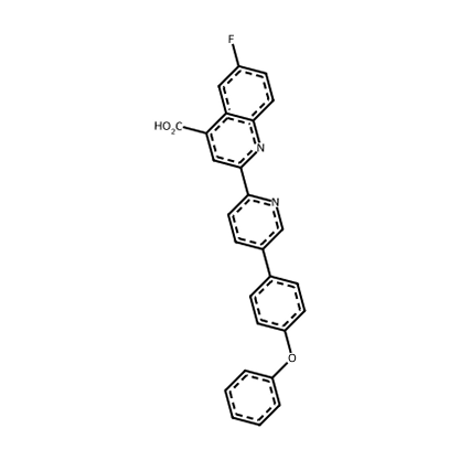 O=C(O)c1cc(-c2ccc(-c3ccc(Oc4ccccc4)cc3)cn2)nc2ccc(F)cc12